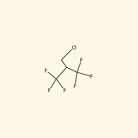 FC(F)(F)C(CCl)C(F)(F)F